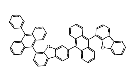 c1ccc(-c2c3ccccc3c(-c3cccc4c3oc3cc(-c5c6ccccc6c(-c6cccc7c6oc6ccccc67)c6ccccc56)ccc34)c3ccccc23)cc1